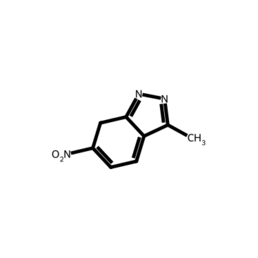 CC1=NN=C2CC([N+](=O)[O-])=CC=C12